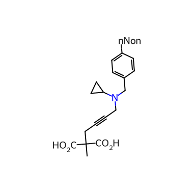 CCCCCCCCCc1ccc(CN(CC#CCC(C)(C(=O)O)C(=O)O)C2CC2)cc1